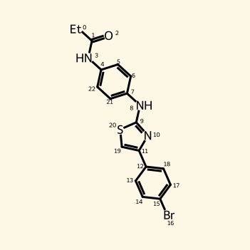 CCC(=O)Nc1ccc(Nc2nc(-c3ccc(Br)cc3)cs2)cc1